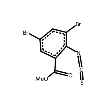 COC(=O)c1cc(Br)cc(Br)c1N=C=S